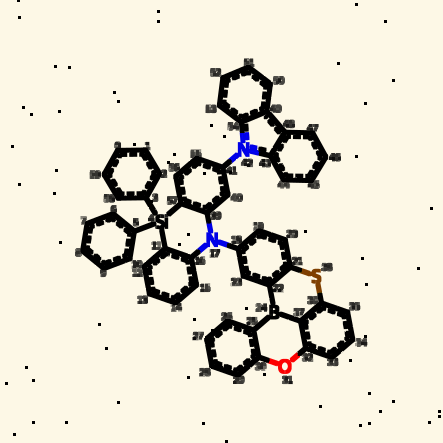 c1ccc([Si]2(c3ccccc3)c3ccccc3N(c3ccc4c(c3)B3c5ccccc5Oc5cccc(c53)S4)c3cc(-n4c5ccccc5c5ccccc54)ccc32)cc1